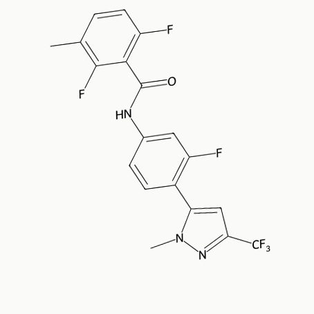 Cc1ccc(F)c(C(=O)Nc2ccc(-c3cc(C(F)(F)F)nn3C)c(F)c2)c1F